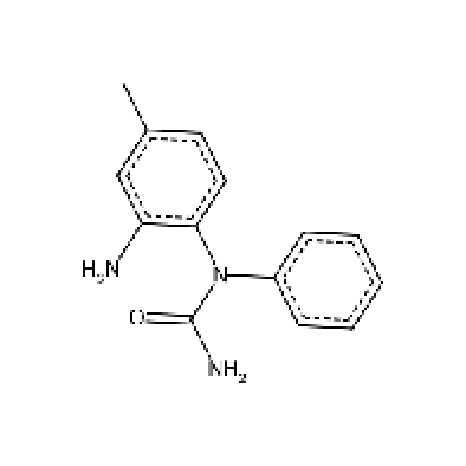 Cc1ccc(N(C(N)=O)c2ccccc2)c(N)c1